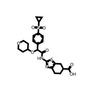 O=C(O)C1CCc2nc(NC(=O)C(OC3CCOCC3)c3ccc(S(=O)(=O)C4CC4)cc3)sc2C1